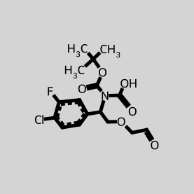 CC(C)(C)OC(=O)N(C(=O)O)C(COCC=O)c1ccc(Cl)c(F)c1